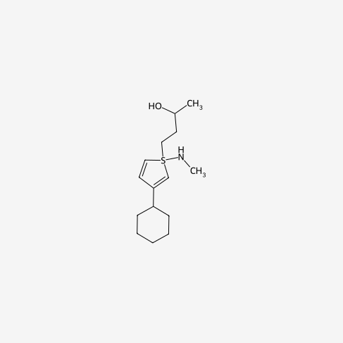 CNS1(CCC(C)O)C=CC(C2CCCCC2)=C1